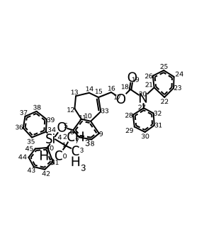 CC(C)(C)[Si](Oc1cccc2c1CCCC(COC(=O)N(c1ccccc1)c1ccccc1)=C2)(c1ccccc1)c1ccccc1